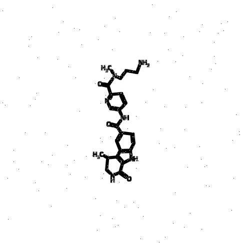 CC1CNC(=O)c2[nH]c3ccc(C(=O)Nc4ccc(C(=O)N(C)CCCN)nc4)cc3c21